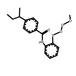 CCC(C)c1ccc(C(=O)Nc2ccccc2SOOOC)cc1